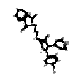 Cn1c(SCCCN2C(=O)c3ccccc3C2=O)nc(-c2ccc(F)cc2)c1-c1ccncc1